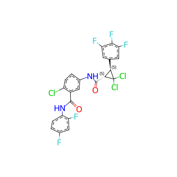 O=C(Nc1ccc(F)cc1F)c1cc(NC(=O)[C@@H]2[C@@H](c3cc(F)c(F)c(F)c3)C2(Cl)Cl)ccc1Cl